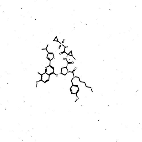 CCCCCCN(Cc1ccc(OC)cc1)C(=O)N1C[C@H](Oc2cc(-c3nc(C(C)C)cs3)nc3c(C)c(OC)ccc23)C[C@H]1C(=O)N[C@]1(C(=O)NS(=O)(=O)C2CC2)C[C@H]1C